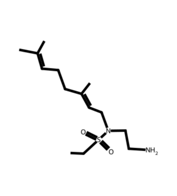 CCS(=O)(=O)N(C/C=C(\C)CCC=C(C)C)CCN